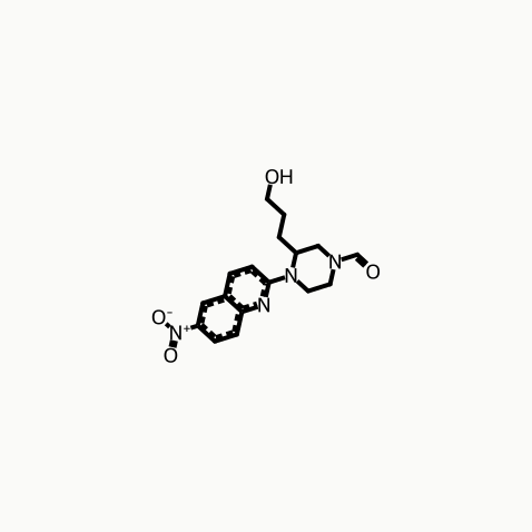 O=CN1CCN(c2ccc3cc([N+](=O)[O-])ccc3n2)C(CCCO)C1